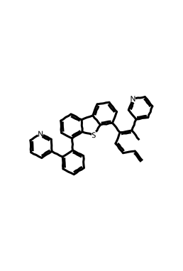 C=C/C=C\C(=C(/C)c1cccnc1)c1cccc2c1sc1c(-c3ccccc3-c3cccnc3)cccc12